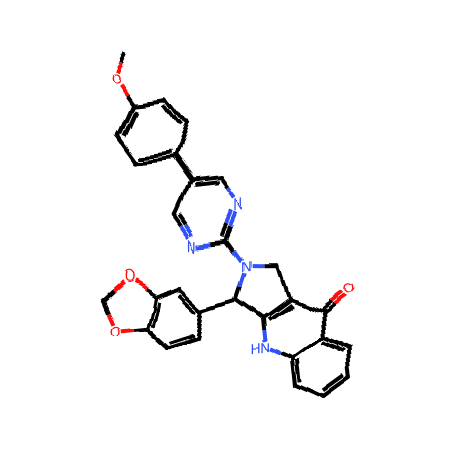 COc1ccc(-c2cnc(N3Cc4c([nH]c5ccccc5c4=O)C3c3ccc4c(c3)OCO4)nc2)cc1